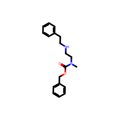 CN(CCNCCc1ccccc1)C(=O)OCc1ccccc1